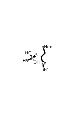 CCCCCCC[CH2][Zn][CH](C)C.OP(O)(=S)S